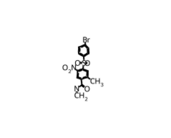 C=NC(=O)c1cc([N+](=O)[O-])c(S(=O)(=O)c2ccc(Br)cc2)cc1C